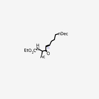 CCCCCCCCCCCCC/C=C/C(=O)C(NC(=O)OCC)C(C)=O